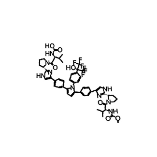 COC(=O)N[C@H](C(=O)N1CCC[C@H]1c1nc(-c2ccc(-c3ccc(-c4ccc(-c5c[nH]c([C@@H]6CCCN6C(=O)[C@@H](NC(=O)O)C(C)C)n5)cc4)n3-c3ccc(C(O)(C(F)(F)F)C(F)(F)F)cc3)cc2)c[nH]1)C(C)C